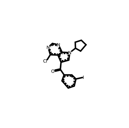 O=C(c1cccc(I)c1)c1cn(C2CCCC2)c2ncnc(Cl)c12